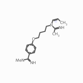 C/C=C\N(CCCCOc1ccc(C(=N)NC)cc1)C(C)=N